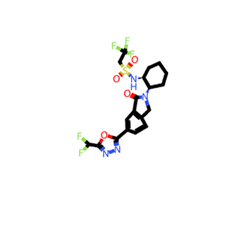 O=C1c2cc(-c3nnc(C(F)F)o3)ccc2CN1[C@@H]1CCCC[C@H]1NS(=O)(=O)CC(F)(F)F